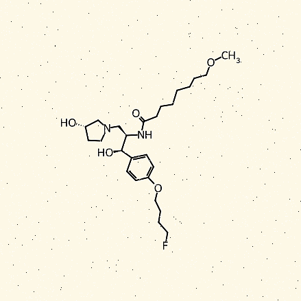 COCCCCCCCC(=O)N[C@H](CN1CC[C@H](O)C1)[C@H](O)c1ccc(OCCCCF)cc1